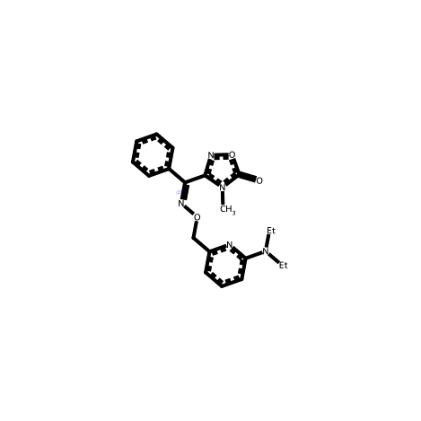 CCN(CC)c1cccc(CO/N=C(/c2ccccc2)c2noc(=O)n2C)n1